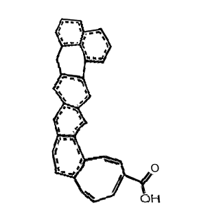 O=C(O)C1=CC=Cc2ccc3cc4cc5c(cc4cc3c2C=C1)-c1cccc2cccc(c12)C5